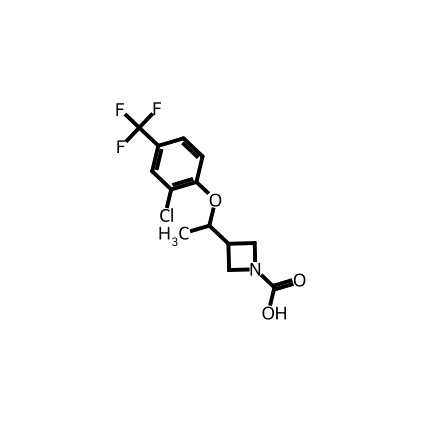 CC(Oc1ccc(C(F)(F)F)cc1Cl)C1CN(C(=O)O)C1